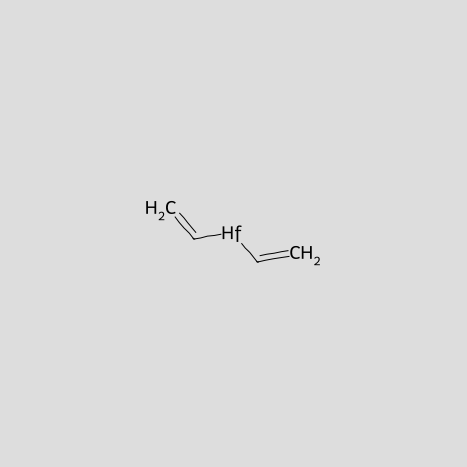 C=[CH][Hf][CH]=C